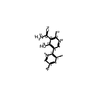 Cc1cc(F)cnc1-c1cnc(C)c(C(N)=O)c1O